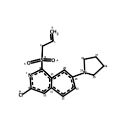 C=CCS(=O)(=O)c1nc(Cl)cc2ccc(N3CCCC3)cc12